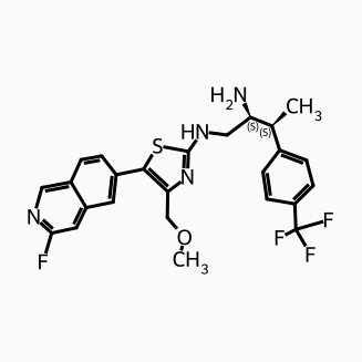 COCc1nc(NC[C@@H](N)[C@@H](C)c2ccc(C(F)(F)F)cc2)sc1-c1ccc2cnc(F)cc2c1